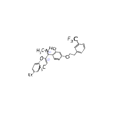 CCc1ccc(OC(=C\C(F)(F)F)/C(=N\C)c2ccc(OCCc3cccc(C(F)(F)F)c3)cc2O)cc1